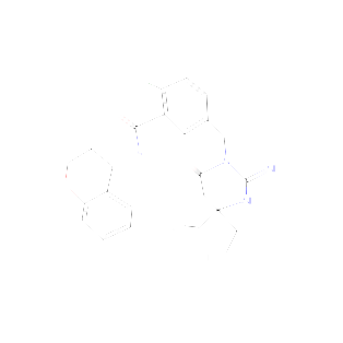 CCC1(CC)CC(=O)N(Cc2ccc(F)c(C(=O)N[C@H]3CCOc4ccccc43)c2)C(=N)N1